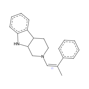 C/C(=C/N1CCC2c3ccccc3NC2C1)c1ccccc1